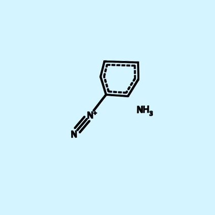 N.N#[N+]c1ccccc1